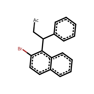 CC(=O)CC(c1ccccc1)c1c(Br)ccc2ccccc12